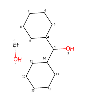 CCO.OC(C1CCCCC1)C1CCCCC1